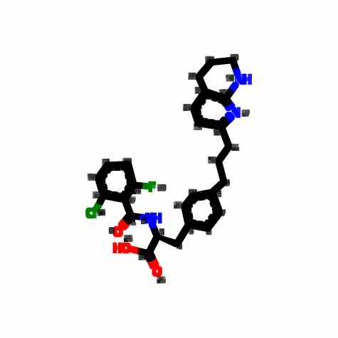 O=C(N[C@@H](Cc1ccc(CCCc2ccc3c(n2)NCCC3)cc1)C(=O)O)c1c(F)cccc1Cl